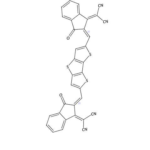 N#CC(C#N)=C1/C(=C/c2cc3sc4cc(/C=C5\C(=O)c6ccccc6C5=C(C#N)C#N)sc4c3s2)C(=O)c2ccccc21